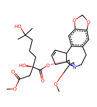 COC(=O)C[C@](O)(CCCC(C)(C)O)C(=O)O[C@@H]1C(OC)=CN2CCc3cc4c(cc3C3C=CCC312)OCO4